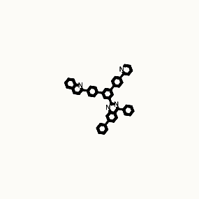 c1ccc(-c2ccc3c(-c4ccccc4)nc(-c4cc(-c5ccc(-c6ccccn6)cc5)cc(-c5ccc(-c6ccc7ccccc7n6)cc5)c4)nc3c2)cc1